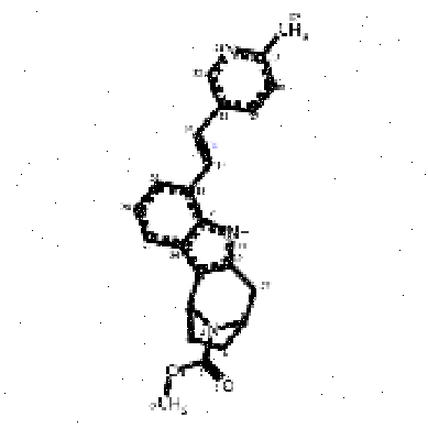 COC(=O)N1C2CCC1c1c([nH]c3c(/C=C/c4ccc(C)nc4)cccc13)C2